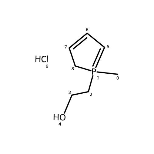 CP1(CCO)=CC=CC1.Cl